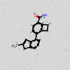 CC1=Cc2c(cccc2-c2ccc(C([NH])=O)c3c2CC3)C1